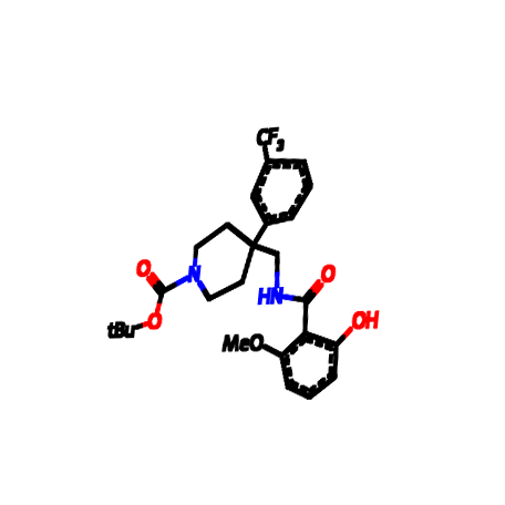 COc1cccc(O)c1C(=O)NCC1(c2cccc(C(F)(F)F)c2)CCN(C(=O)OC(C)(C)C)CC1